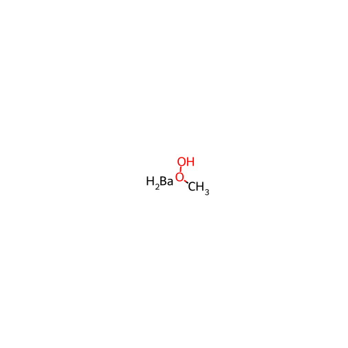 COO.[BaH2]